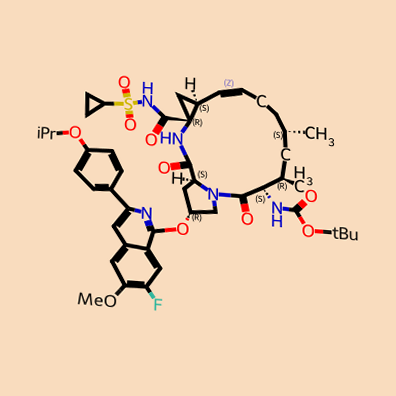 COc1cc2cc(-c3ccc(OC(C)C)cc3)nc(O[C@@H]3C[C@H]4C(=O)N[C@]5(C(=O)NS(=O)(=O)C6CC6)C[C@H]5/C=C\CC[C@H](C)C[C@@H](C)[C@H](NC(=O)OC(C)(C)C)C(=O)N4C3)c2cc1F